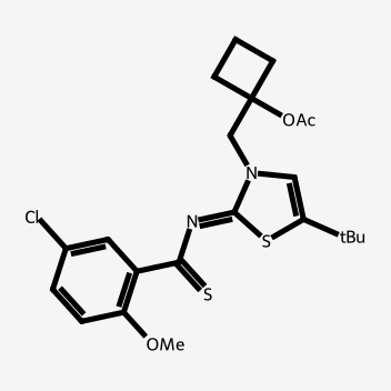 COc1ccc(Cl)cc1C(=S)/N=c1\sc(C(C)(C)C)cn1CC1(OC(C)=O)CCC1